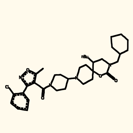 CCCCC1CN(CC2CCCCC2)C(=O)OC12CCN(C1CCN(C(=O)c3c(-c4ccccc4Cl)noc3C)CC1)CC2